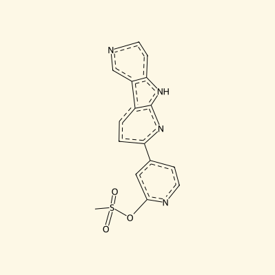 CS(=O)(=O)Oc1cc(-c2ccc3c(n2)[nH]c2ccncc23)ccn1